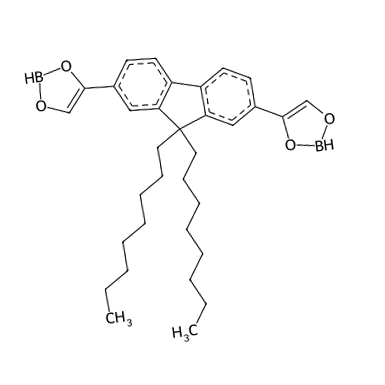 CCCCCCCCC1(CCCCCCCC)c2cc(C3=COBO3)ccc2-c2ccc(C3=COBO3)cc21